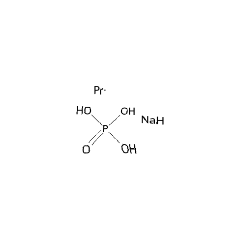 O=P(O)(O)O.[NaH].[Pr]